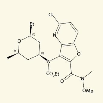 CCOC(=O)N(c1c(C(=O)N(C)OC)oc2ccc(Cl)nc12)[C@@H]1C[C@H](CC)O[C@H](C)C1